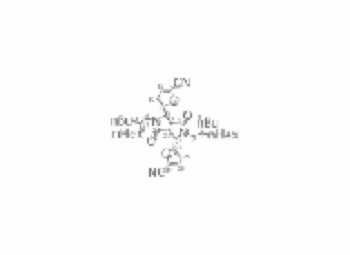 CCCCCCC(CCCC)CN1C(=O)C2=C(c3ccc(C#N)o3)N(CC(CCCC)CCCCCC)C(=O)C2=C1c1ccc(C#N)o1